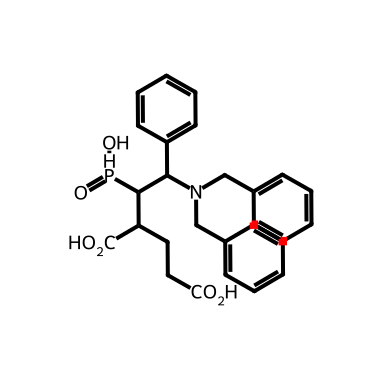 O=C(O)CCC(C(=O)O)C(C(c1ccccc1)N(Cc1ccccc1)Cc1ccccc1)[PH](=O)O